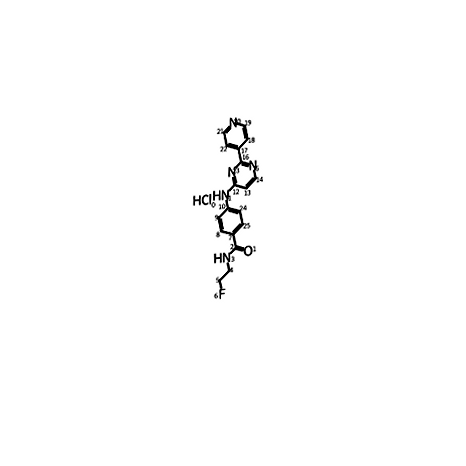 Cl.O=C(NCCF)c1ccc(Nc2ccnc(-c3ccncc3)n2)cc1